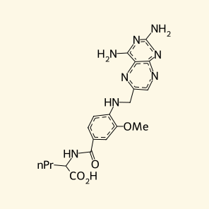 CCCC(NC(=O)c1ccc(NCc2cnc3nc(N)nc(N)c3n2)c(OC)c1)C(=O)O